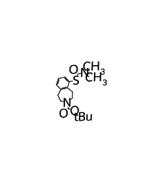 CN(C)C(=O)Sc1cccc2c1CCN(C(=O)OC(C)(C)C)CC2